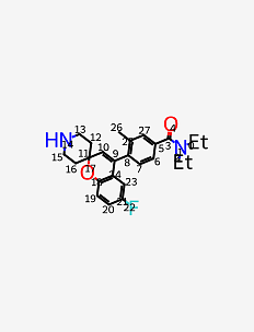 CCN(CC)C(=O)c1ccc(C2=CC3(CCNCC3)Oc3ccc(F)cc32)c(C)c1